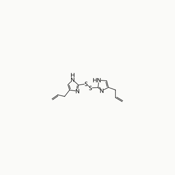 C=CCc1c[nH]c(SSc2nc(CC=C)c[nH]2)n1